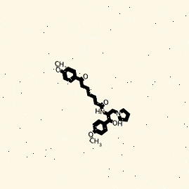 COc1ccc(C(=O)CCCCCC(=O)NC(CN2CCCC2)C(O)c2ccc(OC)cc2)cc1